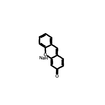 O=c1ccc2cc3ccccc3oc-2c1.[NaH]